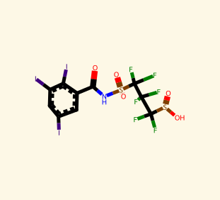 O=C(NS(=O)(=O)C(F)(F)C(F)(F)C(F)(F)S(=O)O)c1cc(I)cc(I)c1I